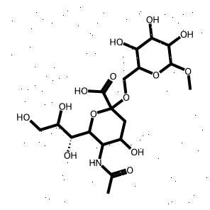 COC1OC(COC2(C(=O)O)CC(O)C(NC(C)=O)C([C@H](O)C(O)CO)O2)C(O)C(O)C1O